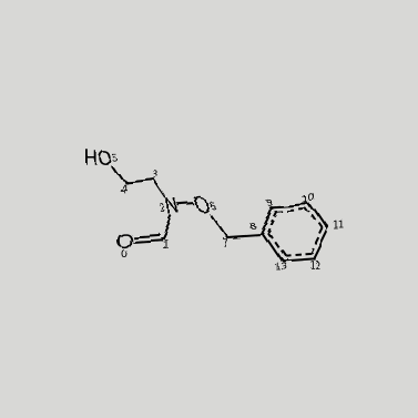 O=CN(CCO)OCc1ccccc1